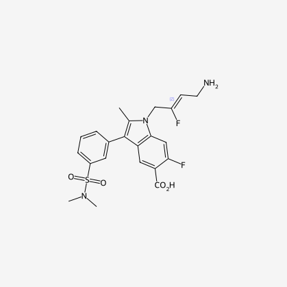 Cc1c(-c2cccc(S(=O)(=O)N(C)C)c2)c2cc(C(=O)O)c(F)cc2n1C/C(F)=C/CN